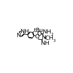 CN(C(=N)COc1ccc(-c2cnc[nH]2)cc1C(C)(C)C)C(N)=O